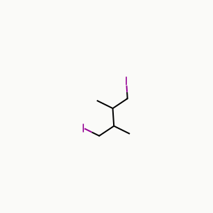 CC(CI)C(C)CI